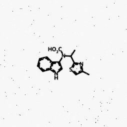 Cc1csc(C(C)N(C(=O)O)c2c[nH]c3ccccc23)n1